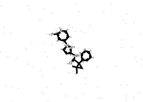 CC1(C)CC1(C(=O)Nc1ccn(-c2ccnc(F)c2)n1)c1ccccc1